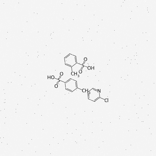 Cc1ccc(S(=O)(=O)O)cc1.Cc1ccccc1S(=O)(=O)O.Clc1ccccn1